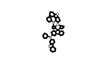 c1ccc(N(c2ccc3c(c2)-c2ccccc2C32c3ccccc3Oc3c(N(c4ccccc4)c4cccc5oc6ccccc6c45)cccc32)c2ccc3c(c2)sc2ccccc23)cc1